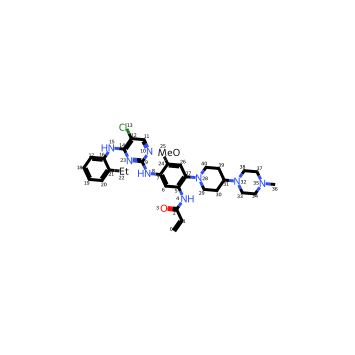 C=CC(=O)Nc1cc(Nc2ncc(Cl)c(Nc3ccccc3CC)n2)c(OC)cc1N1CCC(N2CCN(C)CC2)CC1